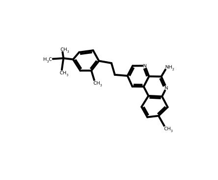 Cc1ccc2c(c1)nc(N)c1ncc(CCc3ccc(C(C)(C)C)cc3C)cc12